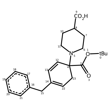 CC(C)(C)OC(=O)C1(N2CCC(C(=O)O)CC2)C=CC(Cc2ccccc2)=CC1